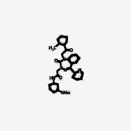 CNc1cccc(NC(=O)CN2N=C(c3ccccn3)c3ccccc3N(CC(=O)c3ccccc3C)C2=O)c1